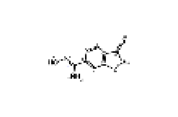 N/C(=N\O)c1ccc2c(c1)COC2=O